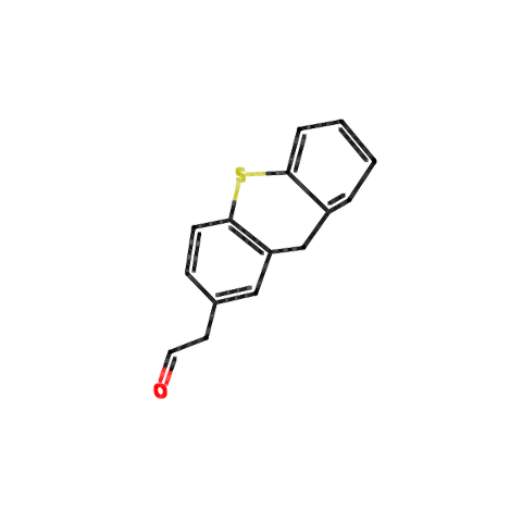 O=CCc1ccc2c(c1)Cc1ccccc1S2